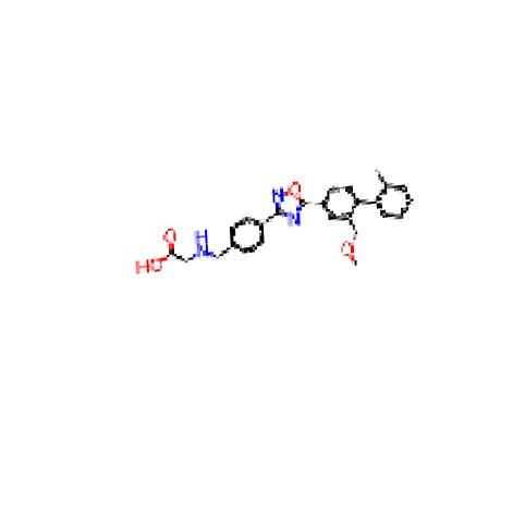 COCc1cc(-c2nc(-c3ccc(CNCC(=O)O)cc3)no2)ccc1-c1ccccc1C